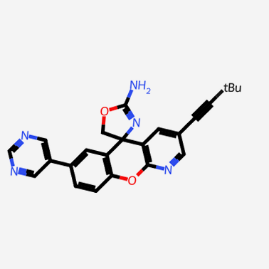 CC(C)(C)C#Cc1cnc2c(c1)C1(COC(N)=N1)c1cc(-c3cncnc3)ccc1O2